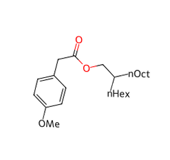 CCCCCCCCC(CCCCCC)COC(=O)Cc1ccc(OC)cc1